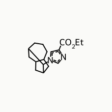 CCOC(=O)c1cn(C2C3CCCC4CC2CC4C3)cn1